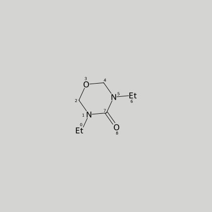 CCN1COCN(CC)C1=O